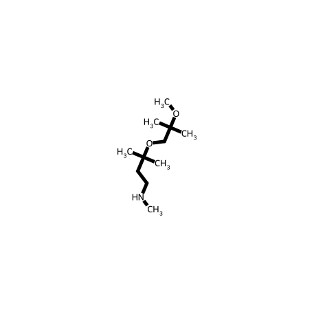 CNCCC(C)(C)OCC(C)(C)OC